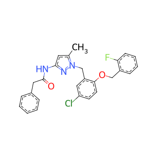 Cc1cc(NC(=O)Cc2ccccc2)nn1Cc1cc(Cl)ccc1OCc1ccccc1F